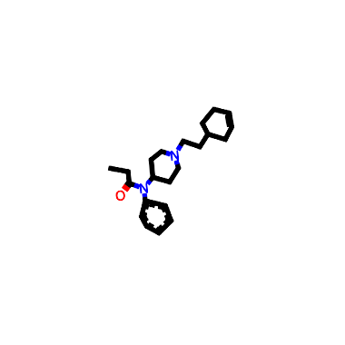 CCC(=O)N(c1ccccc1)C1CCN(CCC2CC=CCC2)CC1